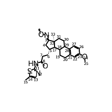 CON=C1C[C@@H](CCC(=O)Nc2ncc(C)s2)C2C3CCc4cc(OC)ccc4C3CC[C@]12C